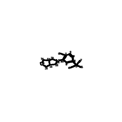 Cc1ccc(C(C)(C)C)cc1N1CC2COCC2C1